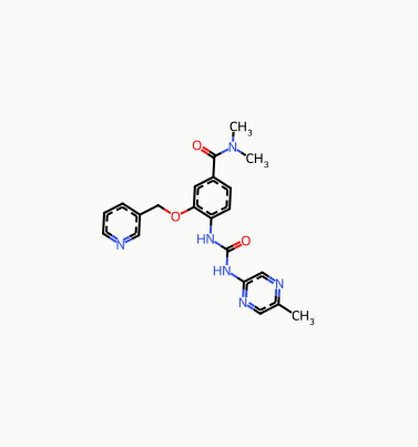 Cc1cnc(NC(=O)Nc2ccc(C(=O)N(C)C)cc2OCc2cccnc2)cn1